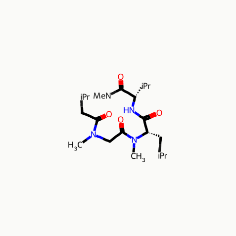 CNC(=O)[C@@H](NC(=O)[C@H](CC(C)C)N(C)C(=O)CN(C)C(=O)CC(C)C)C(C)C